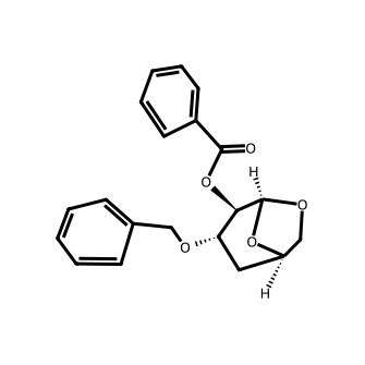 O=C(O[C@H]1[C@H]2OC[C@@H](C[C@@H]1OCc1ccccc1)O2)c1ccccc1